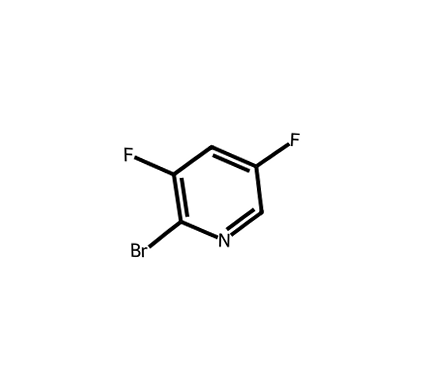 Fc1cnc(Br)c(F)c1